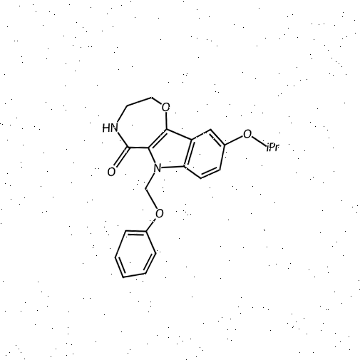 CC(C)Oc1ccc2c(c1)c1c(n2COc2ccccc2)C(=O)NCCO1